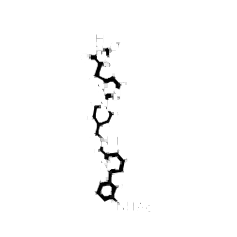 CC(=O)Nc1cccc(-c2cccc(CNCC3CCN(c4nccc(/C=C5\SC(=O)NC5=O)n4)CC3)n2)c1